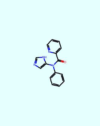 O=C(c1ccccn1)N(c1ccccc1)c1cnc[nH]1